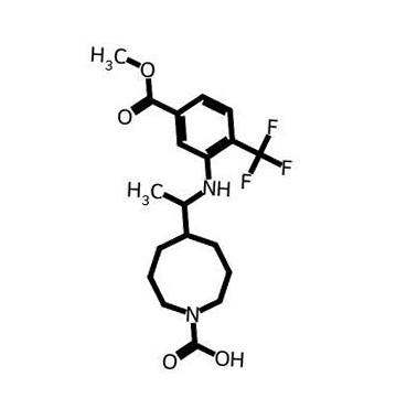 COC(=O)c1ccc(C(F)(F)F)c(NC(C)C2CCCN(C(=O)O)CCC2)c1